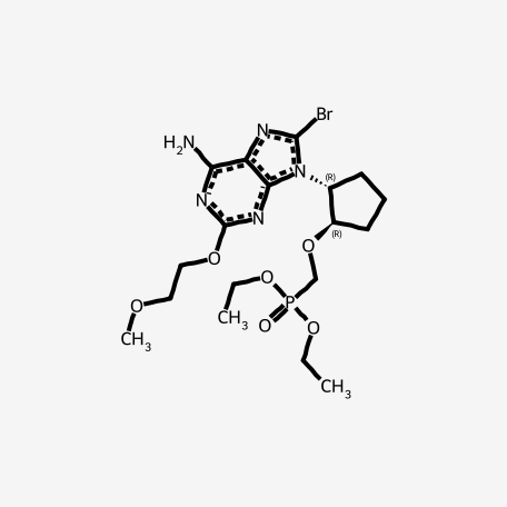 CCOP(=O)(CO[C@@H]1CCC[C@H]1n1c(Br)nc2c(N)nc(OCCOC)nc21)OCC